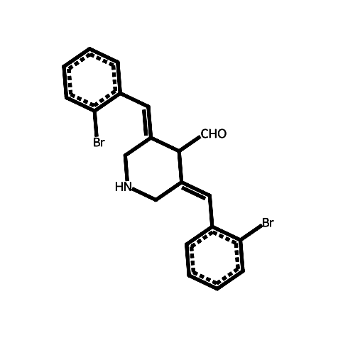 O=CC1C(=Cc2ccccc2Br)CNCC1=Cc1ccccc1Br